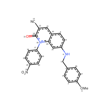 COc1ccc(CNc2ccc3cc(C#N)c(=O)n(-c4ccc([N+](=O)[O-])cc4)c3c2)cc1